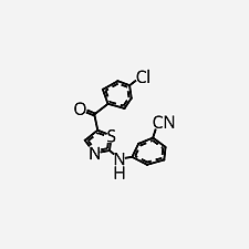 N#Cc1cccc(Nc2ncc(C(=O)c3ccc(Cl)cc3)s2)c1